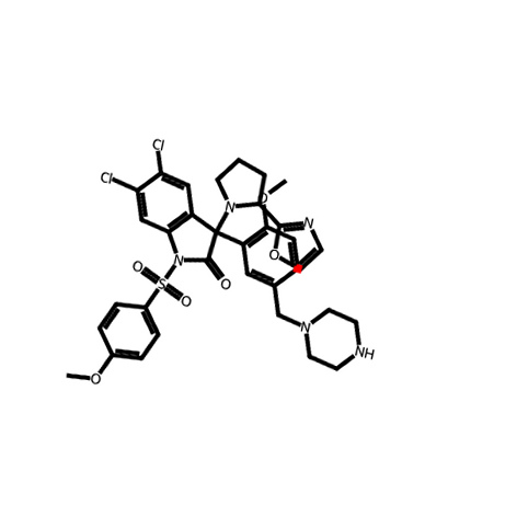 COc1ccc(S(=O)(=O)N2C(=O)C(c3cc(CN4CCNCC4)ccc3OC)(N3CCCC3c3ncco3)c3cc(Cl)c(Cl)cc32)cc1